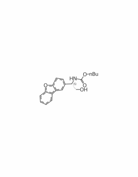 CCCCOC(=O)N[C@H](CO)c1ccc2oc3ccccc3c2c1